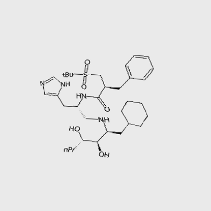 CCC[C@H](O)[C@H](O)[C@H](CC1CCCCC1)NC[C@H](Cc1cnc[nH]1)NC(=O)[C@H](Cc1ccccc1)CS(=O)(=O)C(C)(C)C